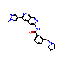 Cn1cc(-c2cc3cc(NC(=O)c4cccc(CN5CCCC5)c4)ncc3cn2)cn1